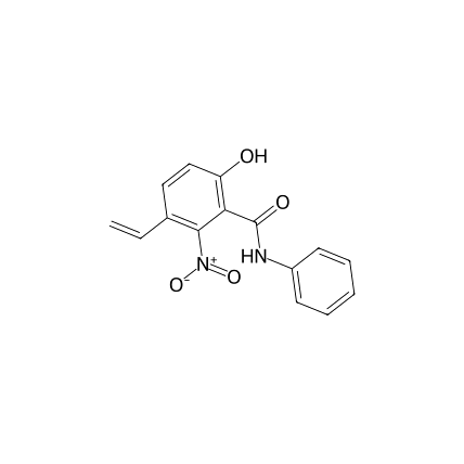 C=Cc1ccc(O)c(C(=O)Nc2ccccc2)c1[N+](=O)[O-]